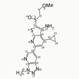 COCC[S+]([O-])c1sc2nc(-c3cnc4c(c3)nnn4C)cc(C3CC3)c2c1N